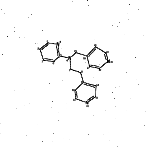 [c]1cccnc1N(CCc1ccncc1)Cc1ccncc1